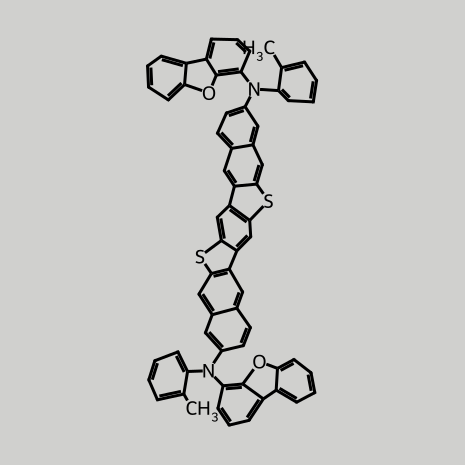 Cc1ccccc1N(c1ccc2cc3c(cc2c1)sc1cc2c(cc13)sc1cc3cc(N(c4ccccc4C)c4cccc5c4oc4ccccc45)ccc3cc12)c1cccc2c1oc1ccccc12